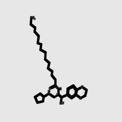 CCCCCCCCCCCCCCCC(=O)N[C@H](CNC1CCCC1)C(O)c1ccc2c(c1)OCCO2